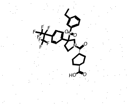 CCc1cccc(S(=O)(=O)C2(c3ccc(C(F)(C(F)(F)F)C(F)(F)F)cc3)CCN(C(=O)[C@H]3CC[C@H](C(=O)O)CC3)C2)c1